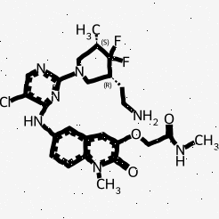 CNC(=O)COc1cc2cc(Nc3nc(N4C[C@@H](CCN)C(F)(F)[C@@H](C)C4)ncc3Cl)ccc2n(C)c1=O